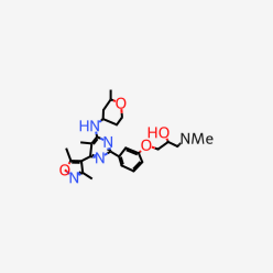 CNCC(O)COc1cccc(-c2nc(NC3CCOC(C)C3)c(C)c(-c3c(C)noc3C)n2)c1